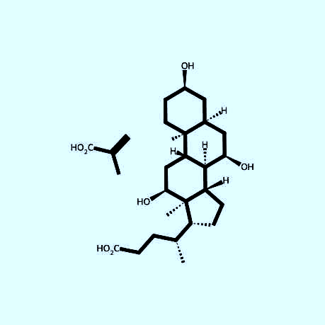 C=C(C)C(=O)O.C[C@H](CCC(=O)O)[C@H]1CC[C@H]2[C@@H]3[C@H](O)C[C@@H]4C[C@H](O)CC[C@]4(C)[C@H]3C[C@H](O)[C@]12C